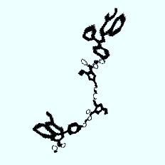 C=CC1CC(C=C=C=CC2CC(C=C)C(C(=O)OCOc3ccc(C(CC(CC(C)CC)c4ccccc4)c4ccccc4)cc3)C2)C(C(=O)OCOc2ccc(C(CC(C)CC)(CC(C)C(=O)OC)c3ccccc3)cc2)C1